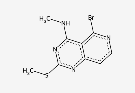 CNc1nc(SC)nc2ccnc(Br)c12